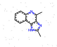 Cc1nc2c(C)nc3ccccc3c2[nH]1